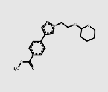 COC(=O)c1ccc(-c2cnn(CCOC3CCCCO3)c2)cc1